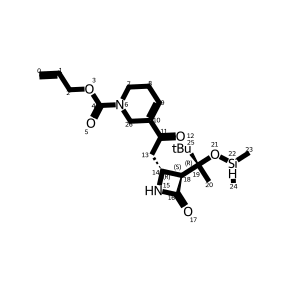 C=CCOC(=O)N1CCC=C(C(=O)C[C@H]2NC(=O)[C@@H]2[C@@](C)(O[SiH](C)C)C(C)(C)C)C1